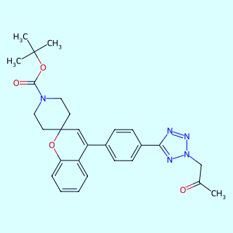 CC(=O)Cn1nnc(-c2ccc(C3=CC4(CCN(C(=O)OC(C)(C)C)CC4)Oc4ccccc43)cc2)n1